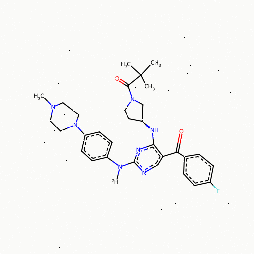 [2H]N(c1ccc(N2CCN(C)CC2)cc1)c1ncc(C(=O)c2ccc(F)cc2)c(N[C@H]2CCN(C(=O)C(C)(C)C)C2)n1